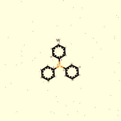 [W].c1ccc(P(c2ccccc2)c2ccccc2)cc1